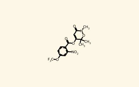 CN1OC(C)(C)C(OC(=O)c2ccc(OC(F)(F)F)cc2[N+](=O)[O-])=CC1=O